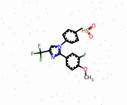 COc1ccc(-c2nc(C(F)(F)F)cn2-c2ccc(C[SH](=O)=O)cc2)cc1F